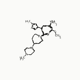 COc1nc(N2CCC(N3CCN(C)CC3)CC2)c(-c2cnn(C)c2)cc1N